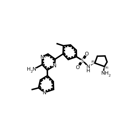 Cc1cc(-c2nc(-c3cc(S(=O)(=O)N[C@@H]4CCC[C@H]4N)ccc3C)cnc2N)ccn1